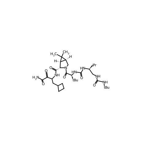 CC(C)[C@@H](CNC(=O)NC(C)(C)C)NC(=O)N[C@H](C(=O)N1C[C@H]2[C@@H]([C@H]1C(=O)NC(CC1CCC1)C(=O)C(N)=O)C2(C)C)C(C)(C)C